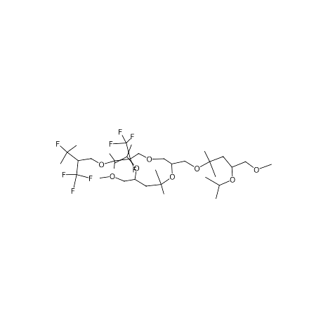 COCC(CC(C)(C)OCC(COCC(F)(C(F)(F)F)C(C)(C)OCC(C(C)(C)F)C(F)(F)F)OC(C)(C)CC(COC)OC(C)C)OC(C)C